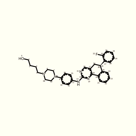 OCCCCN1CCN(c2ccc(Nc3ncc4c(n3)-c3ccccc3[C@H](c3ccccc3F)C4)cc2)CC1